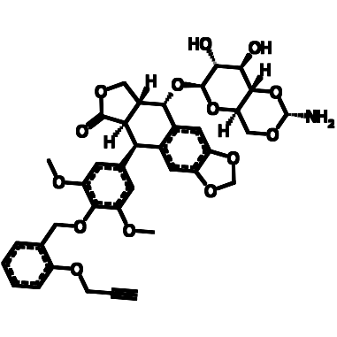 C#CCOc1ccccc1COc1c(OC)cc([C@@H]2c3cc4c(cc3[C@@H](O[C@@H]3O[C@@H]5CO[C@@H](N)O[C@H]5[C@H](O)[C@H]3O)[C@H]3COC(=O)[C@H]23)OCO4)cc1OC